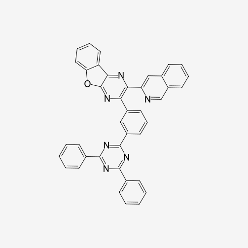 c1ccc(-c2nc(-c3ccccc3)nc(-c3cccc(-c4nc5oc6ccccc6c5nc4-c4cc5ccccc5cn4)c3)n2)cc1